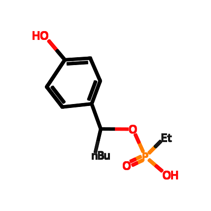 CCCCC(OP(=O)(O)CC)c1ccc(O)cc1